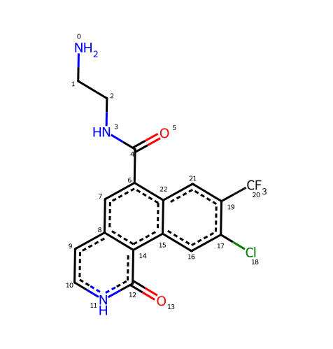 NCCNC(=O)c1cc2cc[nH]c(=O)c2c2cc(Cl)c(C(F)(F)F)cc12